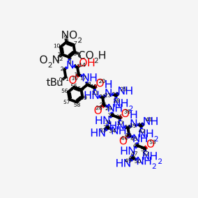 CC(C)(C)CCN(c1c(C(=O)O)cc([N+](=O)[O-])cc1[N+](=O)[O-])C(O)C(=O)NC(C(=O)NC(NC(=N)N)C(=O)NC(NC(=N)N)C(=O)NC(NC(=N)N)C(=O)NC(NC(=N)N)C(N)=O)c1ccccc1